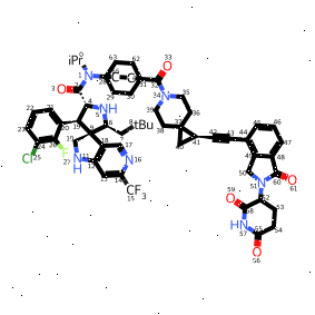 CC(C)N(C(=O)[C@@H]1N[C@@H](CC(C)(C)C)[C@@]2(CNc3cc(C(F)(F)F)ncc32)[C@H]1c1cccc(Cl)c1F)C12CCC(C(=O)N3CCC4(CC3)C[C@@H]4C#Cc3cccc4c3CN(C3CCC(=O)NC3=O)C4=O)(CC1)CC2